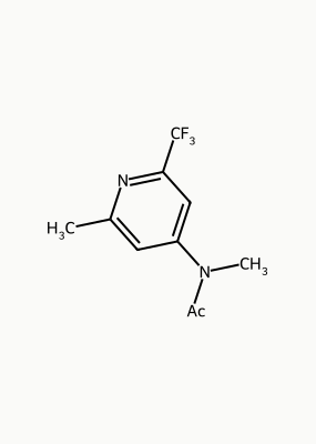 CC(=O)N(C)c1cc(C)nc(C(F)(F)F)c1